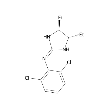 CC[C@@H]1NC(=Nc2c(Cl)cccc2Cl)N[C@H]1CC